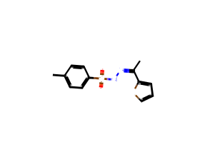 CC(=NNS(=O)(=O)c1ccc(C)cc1)c1cccs1